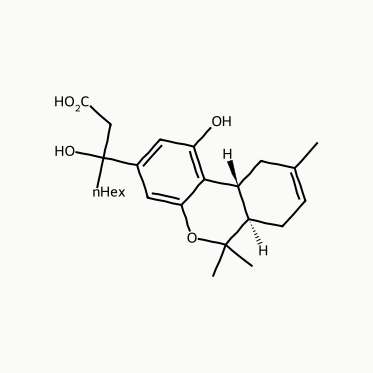 CCCCCCC(O)(CC(=O)O)c1cc(O)c2c(c1)OC(C)(C)[C@@H]1CC=C(C)C[C@@H]21